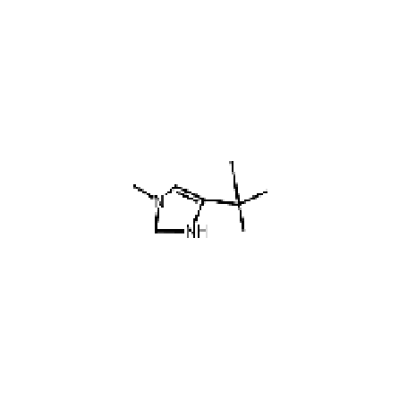 CC(C)(C)C1=CN(I)CN1